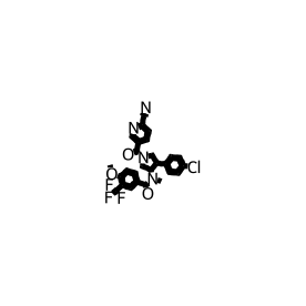 COc1ccc(C(=O)N(C)C2CN(C(=O)c3ccc(C#N)nc3)CC2c2ccc(Cl)cc2)cc1C(F)(F)F